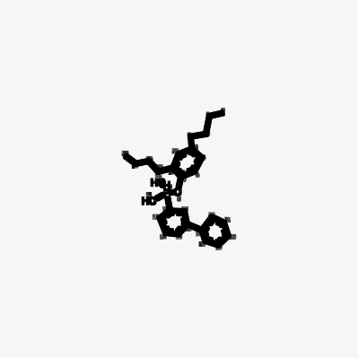 CCCCc1ccc(O[PH](O)(O)c2cccc(-c3ccccc3)c2)c(CCCC)c1